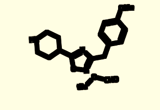 CC(C)(C)OC=O.COc1ccc(Cc2noc(C3CCNCC3)n2)cc1